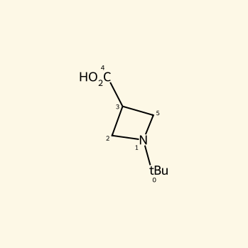 CC(C)(C)N1CC(C(=O)O)C1